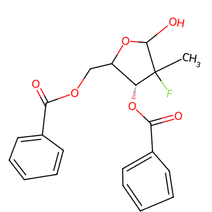 CC1(F)C(O)OC(COC(=O)c2ccccc2)[C@H]1OC(=O)c1ccccc1